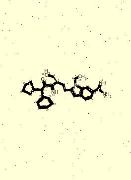 CC[C@@H](CCc1cc2ccc(C(=N)N)cc2n1CC)C(=N)C(=O)C(c1ccccc1)C1CCCC1